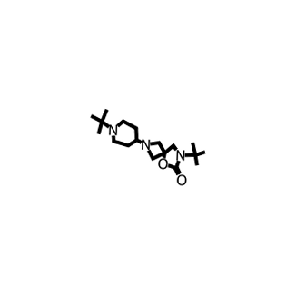 CC(C)(C)N1CCC(N2CC3(C2)CN(C(C)(C)C)C(=O)O3)CC1